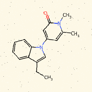 CCc1cn(-c2cc(C)n(C)c(=O)c2)c2ccccc12